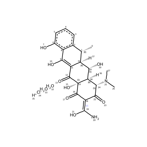 C[C@H]1c2cccc(O)c2C(O)=C2C(=O)[C@]3(O)C(=O)/C(=C(/N)O)C(=O)[C@@H](N(C)C)[C@@H]3[C@@H](O)[C@@H]21.O.O.[Cl-].[H+]